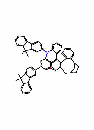 CC1(C)c2ccccc2-c2cc(-c3cccc(N(c4ccc5c(c4)C(C)(C)c4ccccc4-5)c4ccccc4-c4cccc5c4-c4ccccc4C4CCC(C5)C4)c3)ccc21